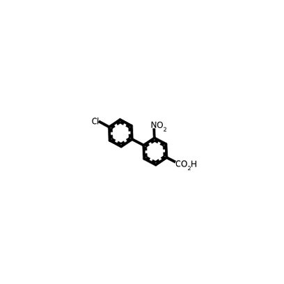 O=C(O)c1ccc(-c2ccc(Cl)cc2)c([N+](=O)[O-])c1